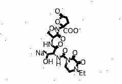 CCN1CCN(C(=O)N[C@@H](C(=O)N[C@H]2CON(C3(C(=O)[O-])CCC(=O)O3)C2=O)[C@H](C)O)C(=O)C1=O.[Na+]